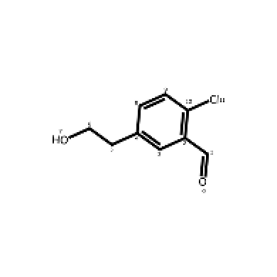 O=Cc1cc(CCO)ccc1Cl